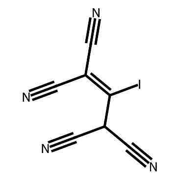 N#CC(C#N)=C(I)C(C#N)C#N